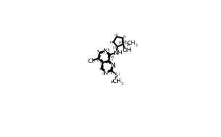 CSc1ncc2c(Cl)cnc(NC3CCC[C@@]3(C)O)c2n1